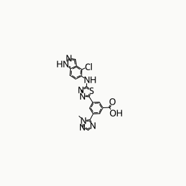 Cn1ncnc1-c1cc(C(=O)O)cc(-c2nnc(Nc3ccc4[nH]ncc4c3Cl)s2)c1